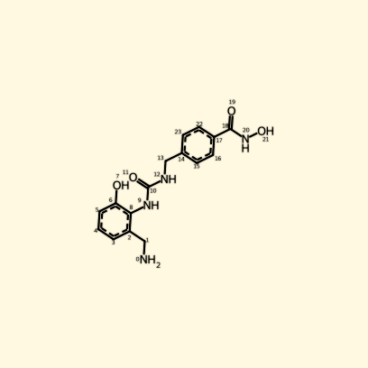 NCc1cccc(O)c1NC(=O)NCc1ccc(C(=O)NO)cc1